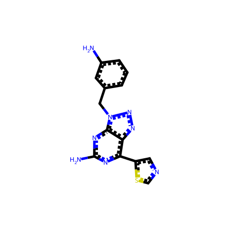 Nc1cccc(Cn2nnc3c(-c4cncs4)nc(N)nc32)c1